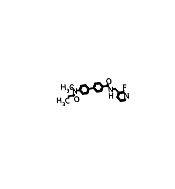 CCC(=O)N(C)c1ccc(-c2ccc(C(=O)NCc3cccnc3F)cc2)cc1